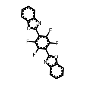 Fc1c(F)c(-c2nc3ccccc3o2)c(F)c(F)c1-c1nc2ccccc2o1